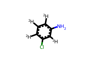 [2H]c1c([2H])c(N)c([2H])c(Cl)c1[2H]